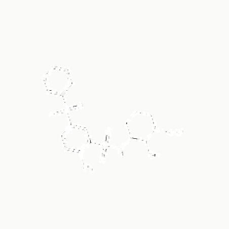 CC(C)(C)C1[C@H](NS(=O)(=O)c2cc(S(=O)(=O)c3ccccc3)ccc2C(F)(F)F)CCCN1C(=O)O